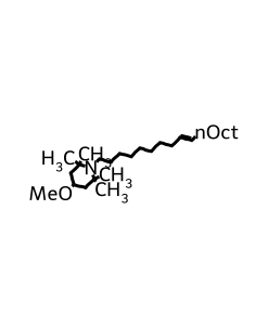 CCCCCCCCC=CCCCCCCCCN1C(C)(C)CC(OC)CC1(C)C